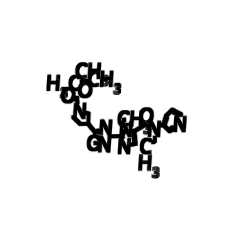 CCN(C(=O)c1cnc(-c2noc(C3CCN(C(=O)OC(C)(C)C)C3)n2)n1C)c1cccnc1